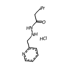 CC(C)CC(=O)NNCc1ccccn1.Cl